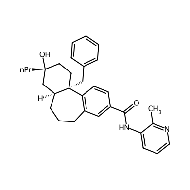 CCC[C@@]1(O)CC[C@@]2(Cc3ccccc3)c3ccc(C(=O)Nc4cccnc4C)cc3CCC[C@H]2C1